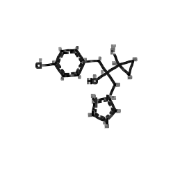 OC(Cc1ccc(Cl)cc1)(Cn1cncn1)C1(F)CC1